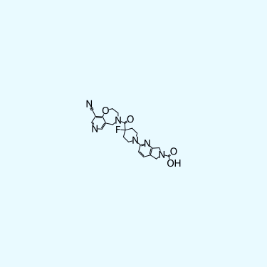 N#Cc1cncc2c1OCCN(C(=O)C1(F)CCN(c3ccc4c(n3)CN(C(=O)O)C4)CC1)C2